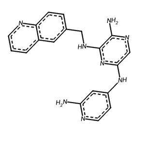 Nc1cc(Nc2cnc(N)c(NCc3ccc4ncccc4c3)n2)ccn1